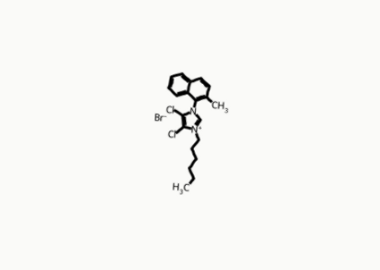 CCCCCC[n+]1cn(-c2c(C)ccc3ccccc23)c(Cl)c1Cl.[Br-]